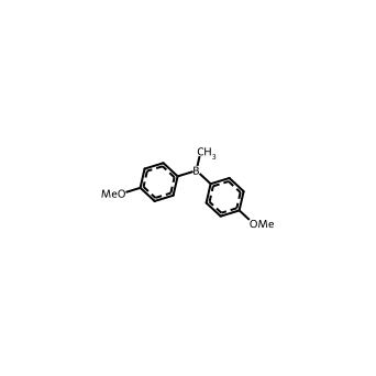 COc1ccc(B(C)c2ccc(OC)cc2)cc1